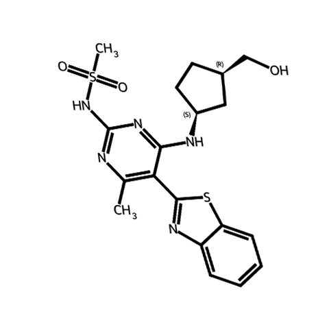 Cc1nc(NS(C)(=O)=O)nc(N[C@H]2CC[C@@H](CO)C2)c1-c1nc2ccccc2s1